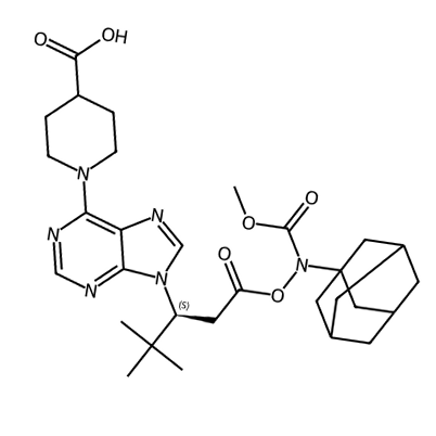 COC(=O)N(OC(=O)C[C@H](n1cnc2c(N3CCC(C(=O)O)CC3)ncnc21)C(C)(C)C)C12CC3CC(CC(C3)C1)C2